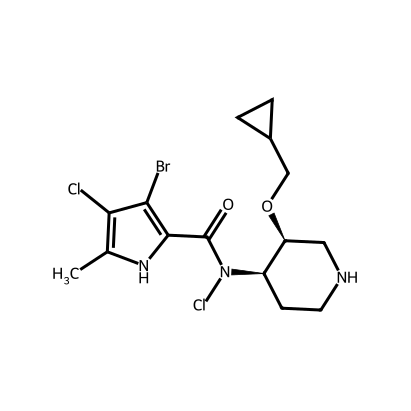 Cc1[nH]c(C(=O)N(Cl)[C@@H]2CCNC[C@@H]2OCC2CC2)c(Br)c1Cl